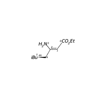 CCOC(=O)C=C(N)C[C@H](C)CC